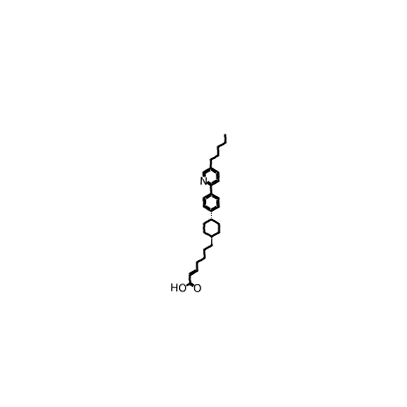 CCCCCc1ccc(-c2ccc([C@H]3CC[C@H](CCCC/C=C/C(=O)O)CC3)cc2)nc1